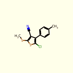 CSc1sc(Cl)c(-c2ccc(C)cc2)c1C#N